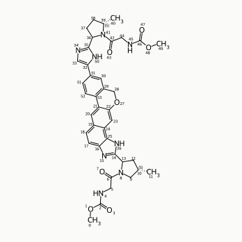 COC(=O)NCC(=O)N1C[C@@H](C)CC1c1nc2ccc3cc4c(cc3c2[nH]1)OCc1cc(-c2cnc(C3CC[C@H](C)N3C(=O)CNC(=O)OC)[nH]2)ccc1-4